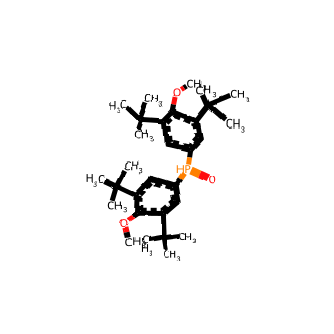 COc1c(C(C)(C)C)cc([PH](=O)c2cc(C(C)(C)C)c(OC)c(C(C)(C)C)c2)cc1C(C)(C)C